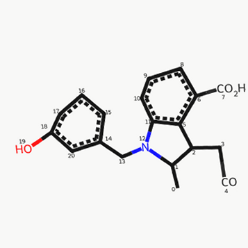 CC1C(CC(=O)O)c2c(C(=O)O)cccc2N1Cc1cccc(O)c1